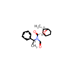 C[C@@H]1C2CCC(O2)[C@@H]1C(=O)N(C=O)[C@@H](C)c1ccccc1